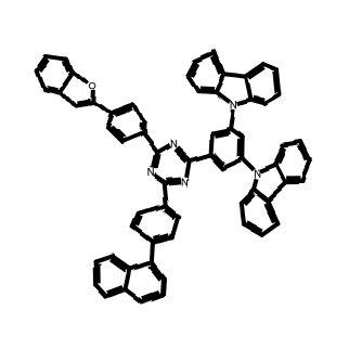 c1ccc2oc(-c3ccc(-c4nc(-c5ccc(-c6cccc7ccccc67)cc5)nc(-c5cc(-n6c7ccccc7c7ccccc76)cc(-n6c7ccccc7c7ccccc76)c5)n4)cc3)cc2c1